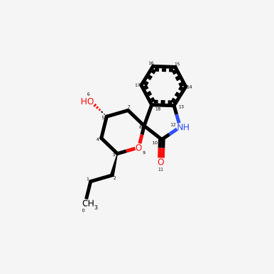 CCC[C@H]1C[C@H](O)CC2(O1)C(=O)Nc1ccccc12